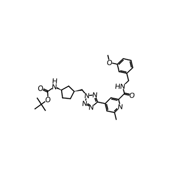 COc1cccc(CNC(=O)c2cc(-c3nnn(C[C@H]4CC[C@@H](NC(=O)OC(C)(C)C)C4)n3)cc(C)n2)c1